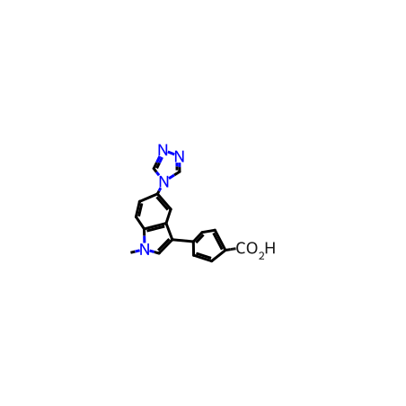 Cn1cc(-c2ccc(C(=O)O)cc2)c2cc(-n3cnnc3)ccc21